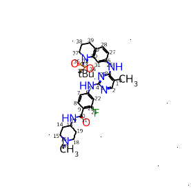 Cc1cnc(Nc2ccc(C(=O)NC3CCN(C)CC3)c(F)c2)nc1Nc1ccc2c(c1)N(S(=O)(=O)C(C)(C)C)CCC2